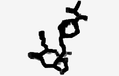 C=CC[C@H]1C[C@]2([C@@H](C)Cc3ccc(N(C)C(C)=O)cc3)OCOC2=CC1=O